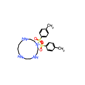 Cc1ccc(S(=O)(=O)[N+]2(S(=O)(=O)c3ccc(C)cc3)CCNCCCCNCCNCC2)cc1